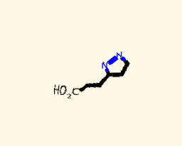 O=C(O)CCC1CCN=N1